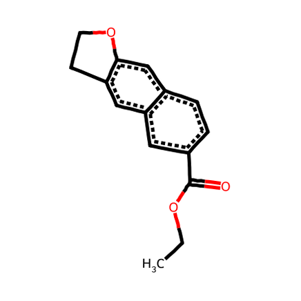 CCOC(=O)c1ccc2cc3c(cc2c1)CCO3